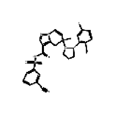 CC1(N2CCC[C@@H]2c2cc(F)ccc2F)C=Cn2ncc(C(=O)NS(=O)(=O)c3cccc(C#N)c3)c2C1